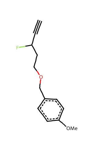 C#CC(F)CCOCc1ccc(OC)cc1